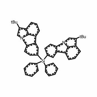 CC(C)(C)c1cn2c3ccc([Si](c4ccccc4)(c4ccccc4)c4ccc5c(c4)c4cccc6c(C(C)(C)C)cn5c64)cc3c3cccc1c32